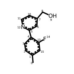 Cc1ccc(-c2cc(CO)ccn2)c(F)c1